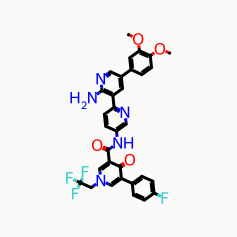 COc1ccc(-c2cnc(N)c(-c3ccc(NC(=O)c4cn(CC(F)(F)F)cc(-c5ccc(F)cc5)c4=O)cn3)c2)cc1OC